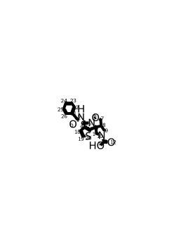 O=C(NC(=S)N1OCC2CN(C(=O)O)CC21c1cccs1)c1ccccc1